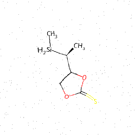 C[SiH2][C@@H](C)C1COC(=S)O1